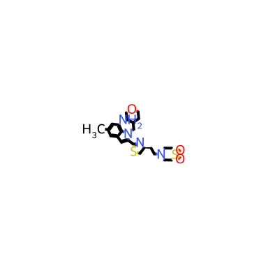 Cc1cc(N)c2c(c1)cc(C1=N[C@@H](CCN3CCS(=O)(=O)CC3)CS1)n2CC1CCOCC1